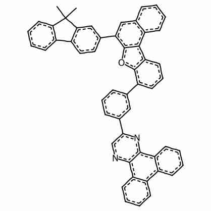 CC1(C)c2ccccc2-c2ccc(-c3cc4ccccc4c4c3oc3c(-c5cccc(-c6cnc7c8ccccc8c8ccccc8c7n6)c5)cccc34)cc21